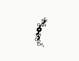 CCOC(=O)Cc1nc(-c2ccc(C(=O)NCCC(F)(F)F)cc2)cs1